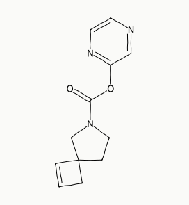 O=C(Oc1cnccn1)N1CCC2(C=CC2)C1